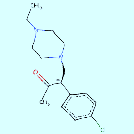 CCN1CCN(C[C@H](C(C)=O)c2ccc(Cl)cc2)CC1